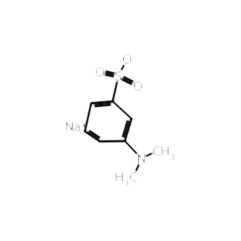 CN(C)c1cccc(S(=O)(=O)[O-])c1.[Na+]